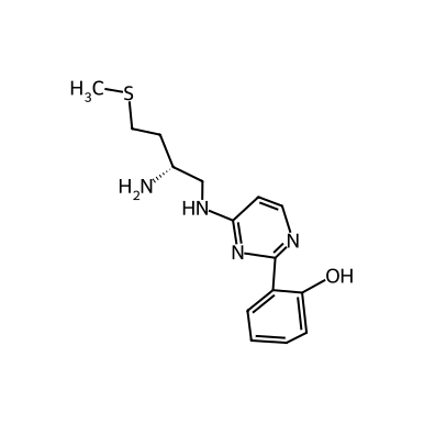 CSCC[C@@H](N)CNc1ccnc(-c2ccccc2O)n1